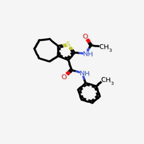 CC(=O)Nc1sc2c(c1C(=O)Nc1ccccc1C)CCCCC2